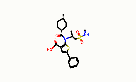 CNS(=O)(=O)CC(C)N(c1sc(-c2ccccc2)cc1C(=O)O)C(=O)[C@H]1CC[C@H](C)CC1